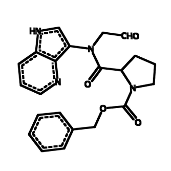 O=CCN(C(=O)C1CCCN1C(=O)OCc1ccccc1)c1c[nH]c2cccnc12